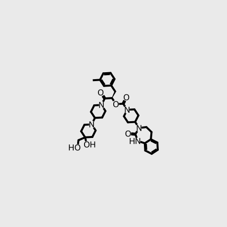 Cc1cccc(C[C@@H](OC(=O)N2CCC(N3CCc4ccccc4NC3=O)CC2)C(=O)N2CCC(N3CCC(O)(CO)CC3)CC2)c1